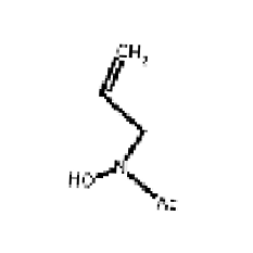 C=CCN(O)C(C)=O